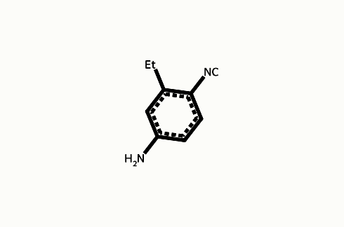 [C-]#[N+]c1ccc(N)cc1CC